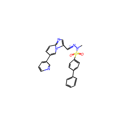 CN(/N=C/c1cnc2ccc(-c3cccnc3)cn12)S(=O)(=O)c1ccc(-c2ccccc2)cc1